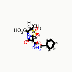 CC1(C)[C@H](C(=O)O)N2C(=O)[C@H](C(N)OCc3ccccc3)[C@H]2S1(=O)=O